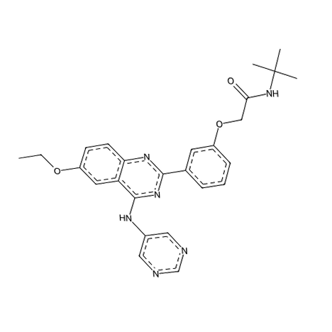 CCOc1ccc2nc(-c3cccc(OCC(=O)NC(C)(C)C)c3)nc(Nc3cncnc3)c2c1